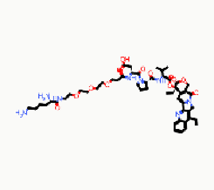 CCc1c2c(nc3ccccc13)-c1cc3c(c(=O)n1C2)COC(=O)[C@@]3(CC)OC(=O)[C@@H](NC(=O)[C@@H]1CCCN1C(=O)[C@H](CC(=O)O)NC(=O)CCOCCOCCOCCNC(=O)[C@@H](N)CCCCN)C(C)C